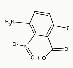 Nc1ccc(F)c(C(=O)O)c1[N+](=O)[O-]